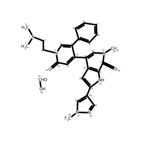 CN(C)CCn1cc(-c2ccccc2)c(-c2cn(C)c(=O)c3[nH]c(-c4cnn(C(F)(F)F)c4)cc23)cc1=O.O=CO